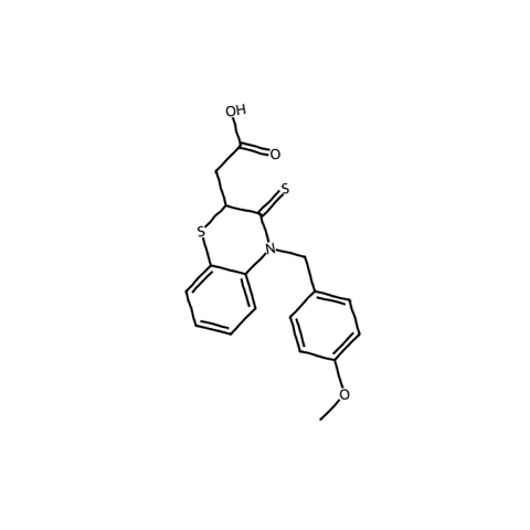 COc1ccc(CN2C(=S)C(CC(=O)O)Sc3ccccc32)cc1